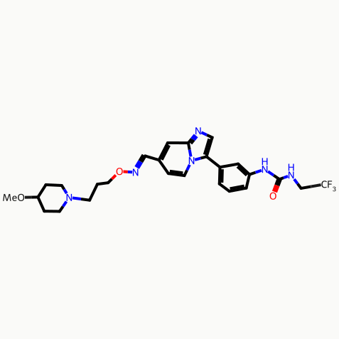 COC1CCN(CCCO/N=C/c2ccn3c(-c4cccc(NC(=O)NCC(F)(F)F)c4)cnc3c2)CC1